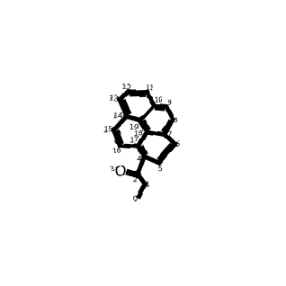 CCC(=O)c1ccc2ccc3cccc4ccc1c2c34